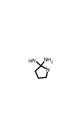 CCCC1(N)CCC[N]1